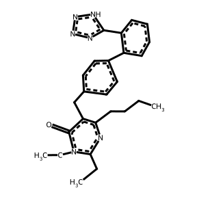 CCCCc1nc(CC)n(CC)c(=O)c1Cc1ccc(-c2ccccc2-c2nnn[nH]2)cc1